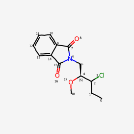 CCC(Cl)[C@H](CN1C(=O)c2ccccc2C1=O)OC